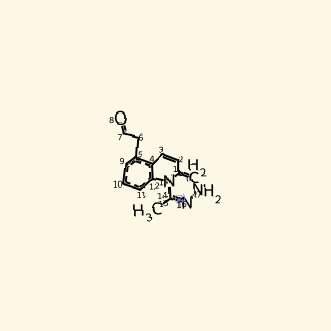 C=C1C=Cc2c(CC=O)cccc2N1/C(C)=N\N